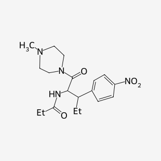 CCC(=O)NC(C(=O)N1CCN(C)CC1)C(CC)c1ccc([N+](=O)[O-])cc1